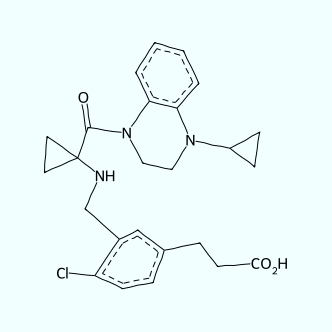 O=C(O)CCc1ccc(Cl)c(CNC2(C(=O)N3CCN(C4CC4)c4ccccc43)CC2)c1